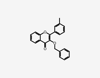 Cc1cccc(-c2oc3ccccc3c(=O)c2OCc2ccccc2)c1